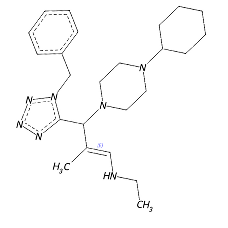 CCN/C=C(\C)C(c1nnnn1Cc1ccccc1)N1CCN(C2CCCCC2)CC1